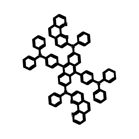 C1=CC(N(c2ccccc2)c2ccc(C3=c4ccc(N(c5ccccc5)c5ccc6ccc7cccnc7c6n5)cc4=C(c4ccc(N(c5ccccc5)c5ccccc5)cc4)C4=CC=C(N(c5ccccc5)c5ccc6ccc7cccnc7c6n5)CC43)cc2)=CCC1